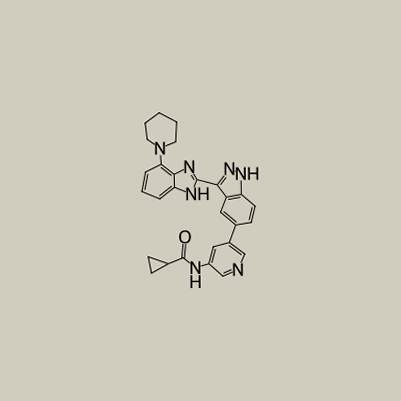 O=C(Nc1cncc(-c2ccc3[nH]nc(-c4nc5c(N6CCCCC6)cccc5[nH]4)c3c2)c1)C1CC1